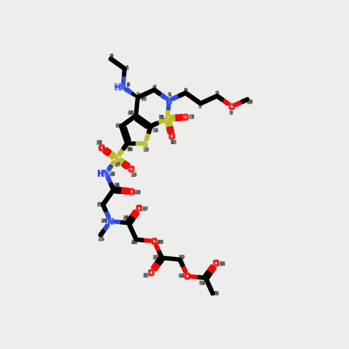 CCN[C@H]1CN(CCCOC)S(=O)(=O)c2sc(S(=O)(=O)NC(=O)CN(C)C(=O)COC(=O)COC(C)=O)cc21